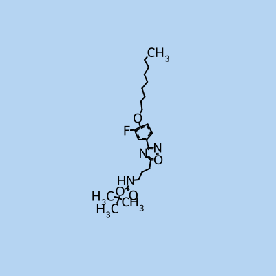 CCCCCCCCCOc1ccc(-c2noc(CCCNC(=O)OC(C)(C)C)n2)cc1F